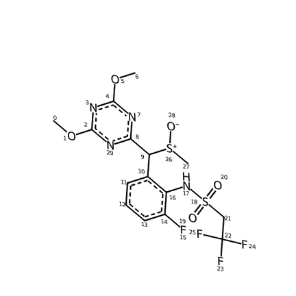 COc1nc(OC)nc(C(c2cccc(F)c2NS(=O)(=O)CC(F)(F)F)[S+](C)[O-])n1